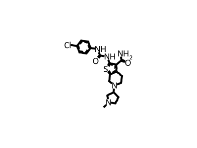 CN1CCC(N2CCc3c(sc(NC(=O)Nc4ccc(Cl)cc4)c3C(N)=O)C2)C1